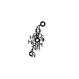 O=C(O)/C=C\C(=O)O.O=S(=O)(c1ccc(NC(=S)NCc2cccnc2)cc1)N1CCN(Cc2ccccc2)CC1